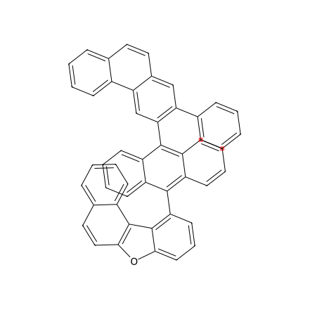 c1ccc(-c2cc3ccc4ccccc4c3cc2-c2c3ccccc3c(-c3cccc4oc5ccc6ccccc6c5c34)c3ccccc23)cc1